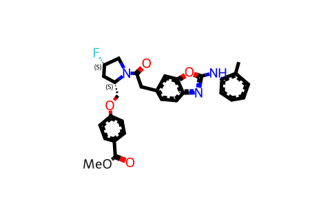 COC(=O)c1ccc(OC[C@@H]2C[C@H](F)CN2C(=O)Cc2ccc3nc(Nc4ccccc4C)oc3c2)cc1